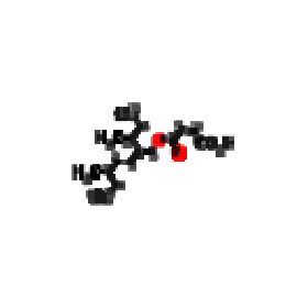 CC(CCC(COC(=O)/C=C\C(=O)O)C(C)CC(C)(C)C)CC(C)(C)C